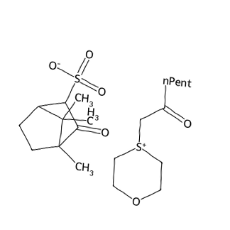 CC12CCC(C(S(=O)(=O)[O-])C1=O)C2(C)C.CCCCCC(=O)C[S+]1CCOCC1